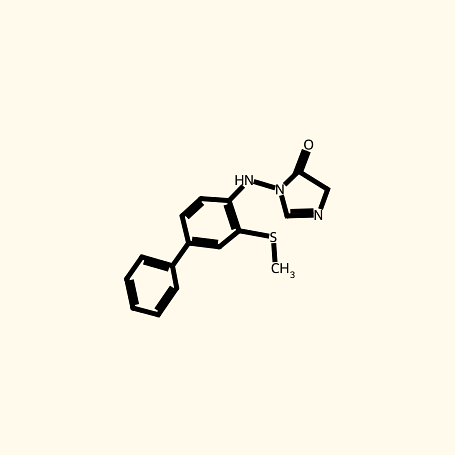 CSc1cc(-c2ccccc2)ccc1NN1C=NCC1=O